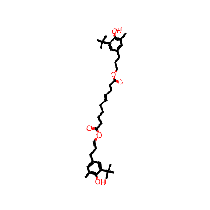 Cc1cc(CCCOC(=O)CCCCCCCCC(=O)OCCCc2cc(C)c(O)c(C(C)(C)C)c2)cc(C(C)(C)C)c1O